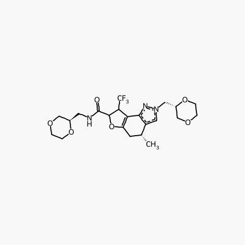 C[C@@H]1CC2=C(c3nn(C[C@H]4COCCO4)cc31)C(C(F)(F)F)C(C(=O)NC[C@@H]1COCCO1)O2